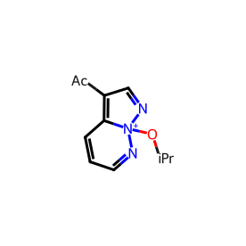 CC(=O)C1=C2C=CC=N[N+]2(OC(C)C)N=C1